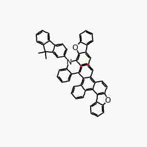 CC1(C)c2ccccc2-c2ccc(N(c3ccccc3-c3cccc4c5ccc6oc7ccccc7c6c5c5ccccc5c34)c3cccc4c3oc3ccccc34)cc21